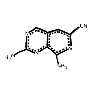 N#Cc1cc2cnc(N)nc2c(N)n1